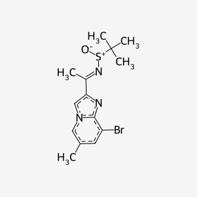 C/C(=N\[S+]([O-])C(C)(C)C)c1cn2cc(C)cc(Br)c2n1